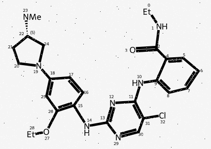 CCNC(=O)c1ccccc1Nc1nc(Nc2ccc(N3CC[C@H](NC)C3)cc2OCC)ncc1Cl